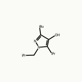 CCC(C)c1nn(CC(C)C)c(C(C)C)c1O